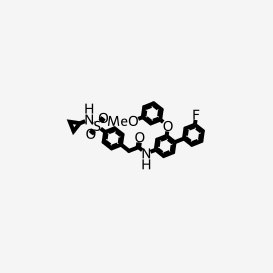 COc1cccc(Oc2cc(NC(=O)Cc3ccc(S(=O)(=O)NC4CC4)cc3)ccc2-c2cccc(F)c2)c1